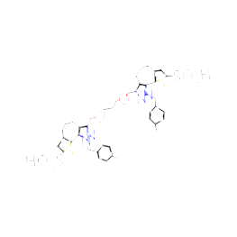 Cc1ccc(Cn2nc(COCCCOCc3nn(Cc4ccc(C)cc4)c4c3CCCc3cc(S(=O)(=O)O)sc3-4)c3c2-c2sc(S(=O)(=O)O)cc2CCC3)cc1